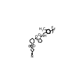 Cc1cc(C(F)(F)F)ccc1CNC(=O)[C@H]1CCCN1C(=O)[C@H]1CCCN(S(=O)(=O)N2CC(C#N)C2)C1